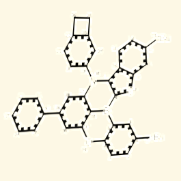 CC(C)(C)c1ccc2c(c1)B1c3oc4cc(C(C)(C)C)ccc4c3N(c3ccc4c(c3)CC4)c3cc(-c4ccccc4)cc(c31)O2